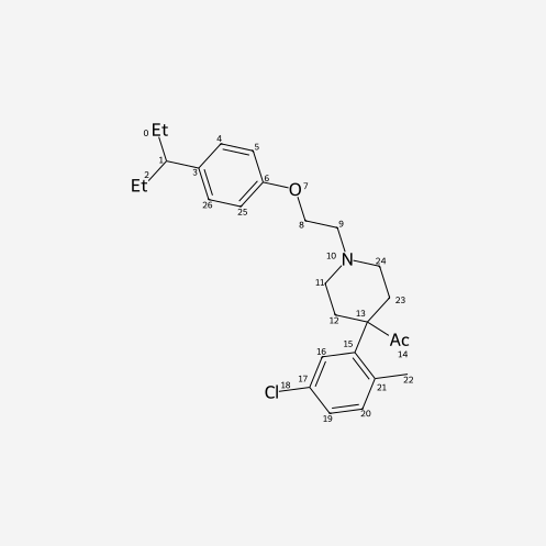 CCC(CC)c1ccc(OCCN2CCC(C(C)=O)(c3cc(Cl)ccc3C)CC2)cc1